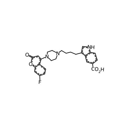 O=C(O)c1ccc2[nH]cc(CCCCN3CCN(c4cc(=O)oc5cc(F)ccc45)CC3)c2c1